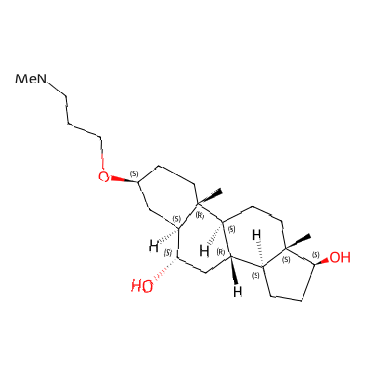 CNCCCO[C@H]1CC[C@@]2(C)[C@H](C1)[C@@H](O)C[C@@H]1[C@@H]2CC[C@]2(C)[C@@H](O)CC[C@@H]12